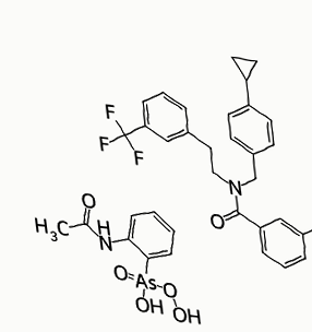 CC(=O)Nc1ccccc1[As](=O)(O)OO.O=C(c1cccc(Cl)c1)N(CCc1cccc(C(F)(F)F)c1)Cc1ccc(C2CC2)cc1